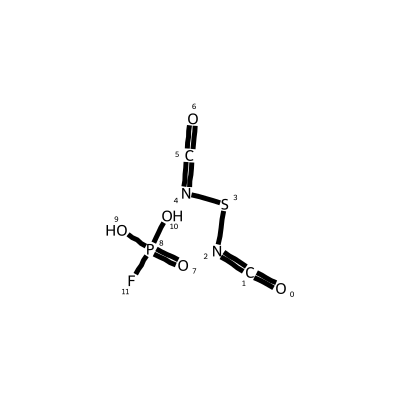 O=C=NSN=C=O.O=P(O)(O)F